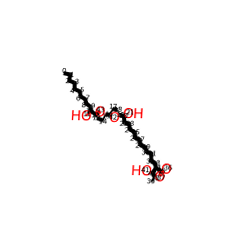 CCCCCCCCCC[C@H](O)[C@H]1CC[C@H]([C@H]2CC[C@H]([C@H](O)CCCCCCCCCCCCC3C(=O)O[C@@H](C)[C@@H]3O)O2)O1